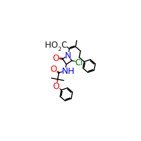 CC(CCc1ccccc1)=C(C(=O)O)N1C(=O)C(NC(=O)C(C)(C)Oc2ccccc2)C1Cl